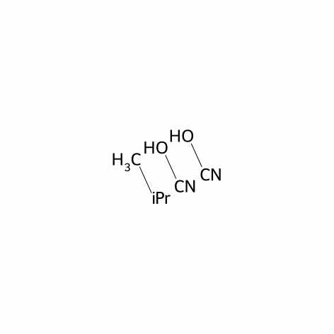 CC(C)C.N#CO.N#CO